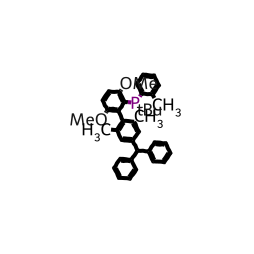 COc1ccc(OC)c(P(c2ccccc2C)C(C)(C)C)c1-c1c(C)cc(C(c2ccccc2)c2ccccc2)cc1C